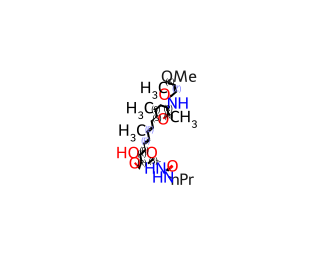 CCCNC(=O)NC[C@@H]1C[C@@]2(CO2)[C@H](O)[C@@H](/C=C/C(C)=C/C[C@@H]2O[C@H](C)[C@H](NC(=O)/C=C\[C@H](C)OC)C[C@@H]2C)O1